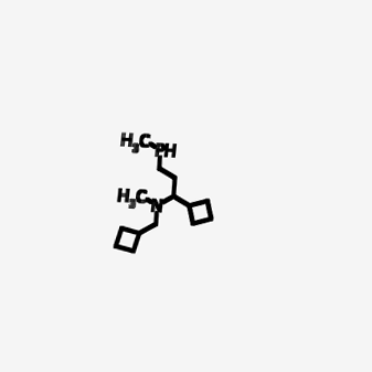 CPCCC(C1CCC1)N(C)CC1CCC1